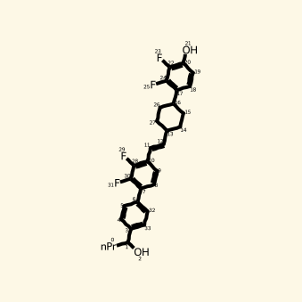 CCCC(O)c1ccc(-c2ccc(/C=C/C3CCC(c4ccc(O)c(F)c4F)CC3)c(F)c2F)cc1